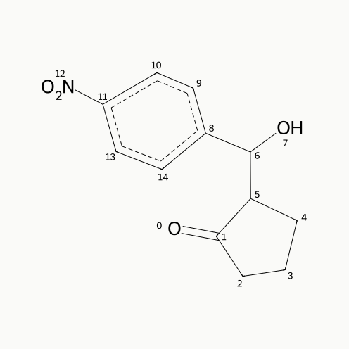 O=C1CCCC1C(O)c1ccc([N+](=O)[O-])cc1